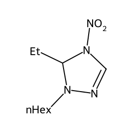 CCCCCCN1N=CN([N+](=O)[O-])C1CC